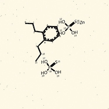 CCCc1ccccc1CCC.OP(O)(O)=S.OP(O)(O)=S.[Zn]